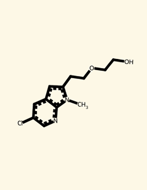 Cn1c(CCOCCO)cc2cc(Cl)cnc21